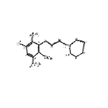 COc1c(C(=O)O)cc(Cl)c(N)c1CCCN1CCCCC1